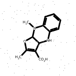 CC1=C(C(=O)O)C2Nc3ccccc3N(C)C2O1